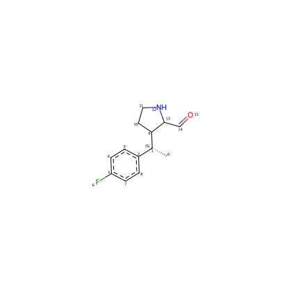 C[C@H](c1ccc(F)cc1)C1CCNC1C=O